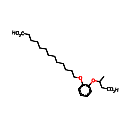 CC(CC(=O)O)Oc1ccccc1OCCCCCCCCCCCCC(=O)O